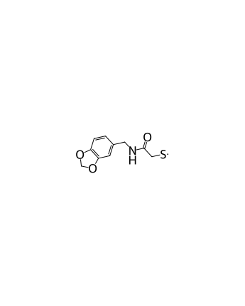 O=C(C[S])NCc1ccc2c(c1)OCO2